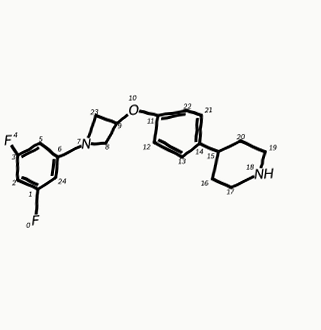 Fc1cc(F)cc(N2CC(Oc3ccc(C4CCNCC4)cc3)C2)c1